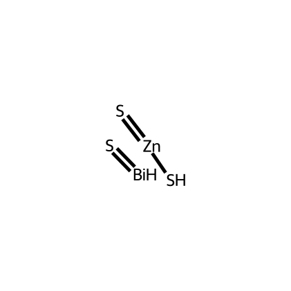 [S]=[BiH].[S]=[Zn][SH]